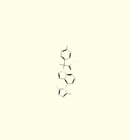 CCC(C(=O)OC)(c1ccc(Cl)cc1)n1ccc2c(-n3c(C)ccc3C)cccc21